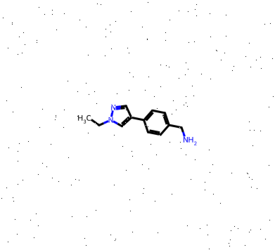 CCn1cc(-c2ccc(CN)cc2)cn1